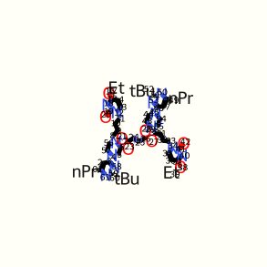 CCCc1cc(N2CC[N+](CCCCn3ccc(OCC)nc3=O)(OC(=O)/C=C/C(=O)O[N+]3(CCCCn4ccc(OCC)nc4=O)CCN(c4cc(CCC)nc(C(C)(C)C)n4)CC3)CC2)nc(C(C)(C)C)n1